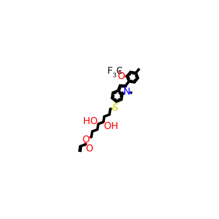 C=CC(=O)OCCCC(O)C(O)CCCSc1ccc2cc(-c3ccc(C)cc3OC(F)(F)F)n(C)c2c1